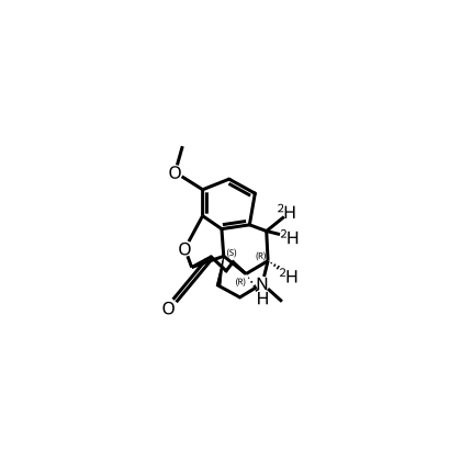 [2H]C1([2H])c2ccc(OC)c3c2[C@]24CCN(C)[C@@]1([2H])[C@@H]2CCC(=O)C4O3